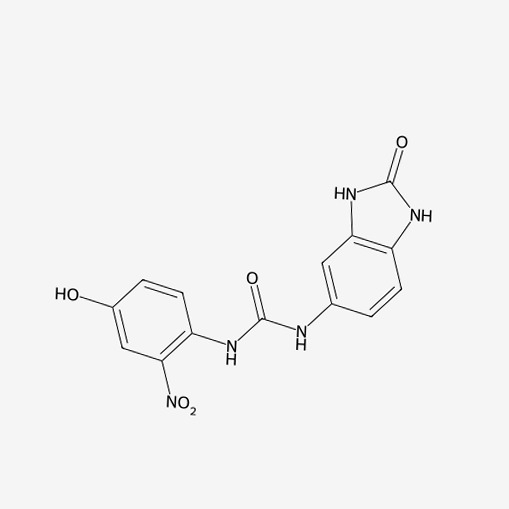 O=C(Nc1ccc2[nH]c(=O)[nH]c2c1)Nc1ccc(O)cc1[N+](=O)[O-]